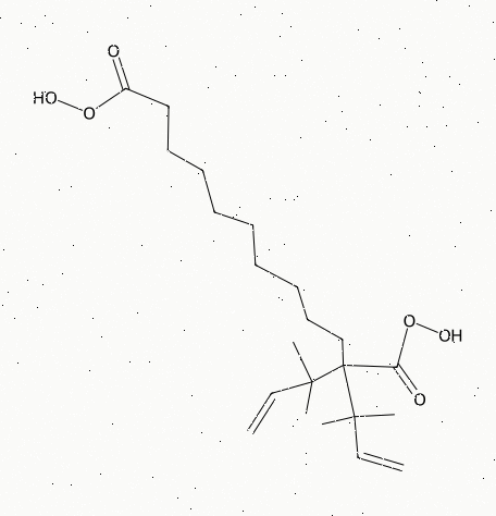 C=CC(C)(C)C(CCCCCCCCCC(=O)OO)(C(=O)OO)C(C)(C)C=C